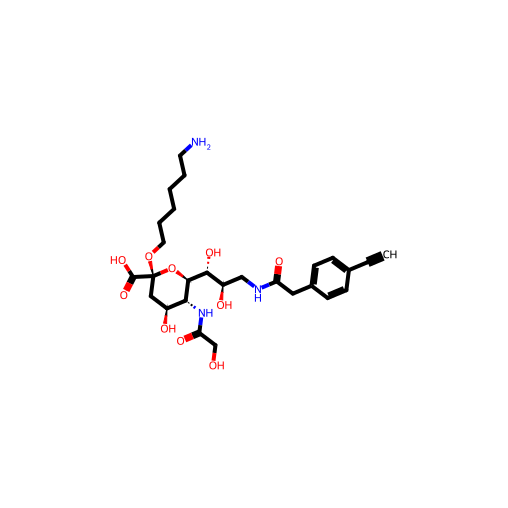 C#Cc1ccc(CC(=O)NC[C@@H](O)[C@@H](O)[C@@H]2O[C@@](OCCCCCCN)(C(=O)O)C[C@H](O)[C@H]2NC(=O)CO)cc1